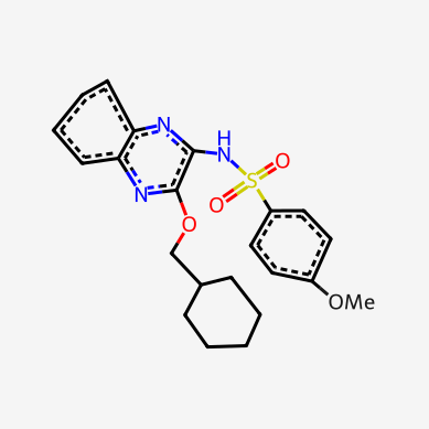 COc1ccc(S(=O)(=O)Nc2nc3ccccc3nc2OCC2CCCCC2)cc1